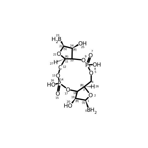 B[C@@H]1O[C@@H]2COP(=O)(O)OC3[C@@H](COP(=O)(O)OC2[C@@H]1O)O[C@@H](B)[C@H]3O